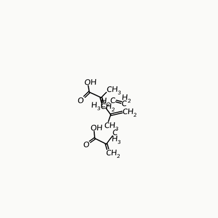 C=C.C=C(C)C.C=C(C)C(=O)O.C=C(C)C(=O)O